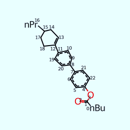 CCCCC(=O)Oc1ccc(-c2ccc(C3=CCC(CCC)CC3)cc2)cc1